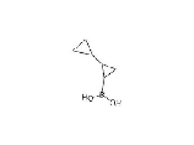 OB(O)C1CC1C1CC1